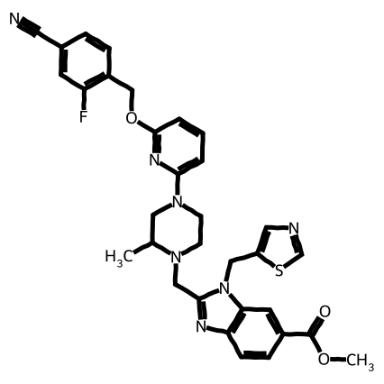 COC(=O)c1ccc2nc(CN3CCN(c4cccc(OCc5ccc(C#N)cc5F)n4)CC3C)n(Cc3cncs3)c2c1